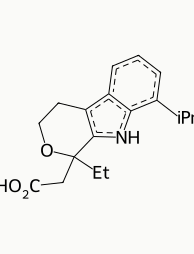 CCC1(CC(=O)O)OCCc2c1[nH]c1c(C(C)C)cccc21